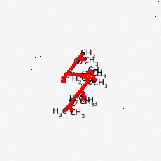 CCCCCC(CCCCC)CCOC(=O)CCCCCCCCCC(CCCCCCCCCC(=O)OCCC(CCCCC)CCC(CC)C(C)CCCC(CCCCC)CC(=O)OCCCCCCCCCCC(CCCCCCCCCCOC(=O)CC(CCCCC)CCCCC)COCCCN1CCCC1)COCCCN(C)C(C)C